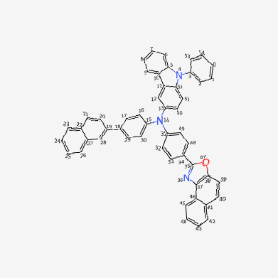 c1ccc(-n2c3ccccc3c3cc(N(c4ccc(-c5ccc6ccccc6c5)cc4)c4ccc(-c5nc6c(ccc7ccccc76)o5)cc4)ccc32)cc1